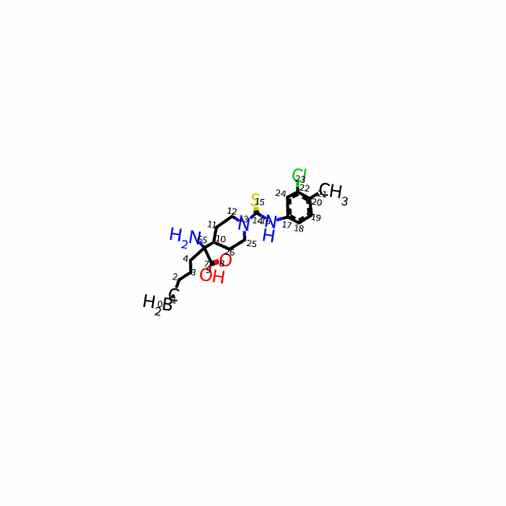 BCCCCC(N)(C(=O)O)C1CCN(C(=S)Nc2ccc(C)c(Cl)c2)CC1